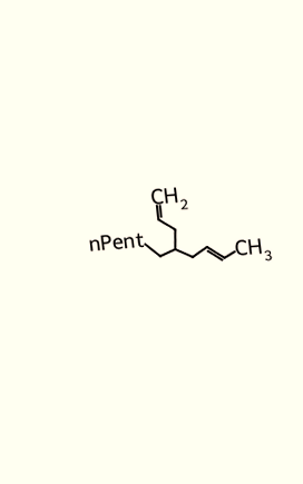 C=CCC(C/C=C/C)CCCCCC